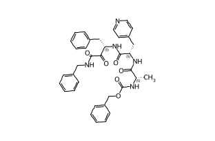 C[C@H](NC(=O)OCc1ccccc1)C(=O)N[C@@H](Cc1ccncc1)C(=O)N[C@@H](Cc1ccccc1)C(=O)C(=O)NCc1ccccc1